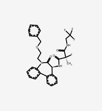 C[C@@](F)(C(=O)NCC(F)(F)F)C(=O)N[C@@H]1C(=O)N(CCOCc2ccccc2)c2ccccc2-c2ccccc21